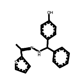 C/C(=N/NC(c1ccccc1)c1ccc(O)cc1)c1cccs1